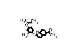 CCC(C)Oc1ccc(Oc2ccc3cc(C(C)=O)ccc3n2)c(C)c1